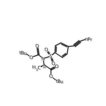 CCCC#Cc1ccc(S(=O)(=O)N(C(=O)OC(C)(C)C)[C@H](C)C(=O)OC(C)(C)C)cc1